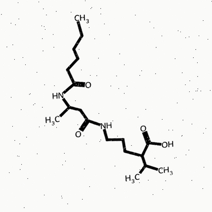 CCCCCC(=O)NC(C)CC(=O)NCCCC(C(=O)O)C(C)C